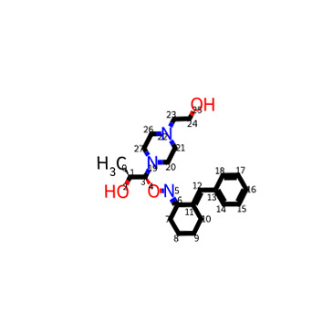 C[C@@H](O)[C@H](O/N=C1\CCCC\C1=C/c1ccccc1)N1CCN(CCO)CC1